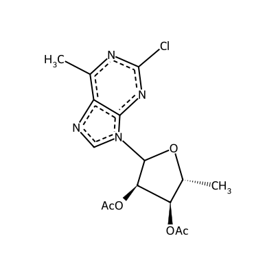 CC(=O)O[C@@H]1[C@@H](C)OC(n2cnc3c(C)nc(Cl)nc32)[C@@H]1OC(C)=O